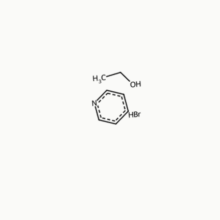 Br.CCO.c1ccncc1